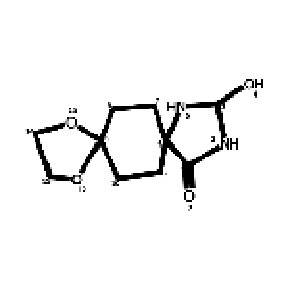 O=C1NC(O)NC12CCC1(CC2)OCCO1